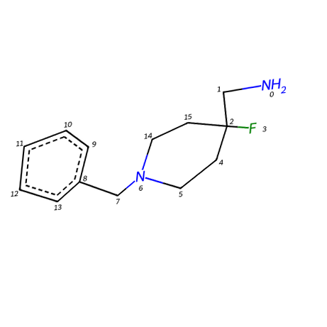 NCC1(F)CCN(Cc2ccccc2)CC1